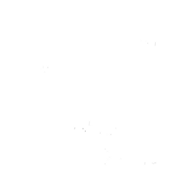 CCCCCCCCCCCCC(CCC(=O)OC(CCCCCCCCCCC(=O)O)CCCCCCCCCCC(=O)O)OC(=O)OCCCN(CC)CC